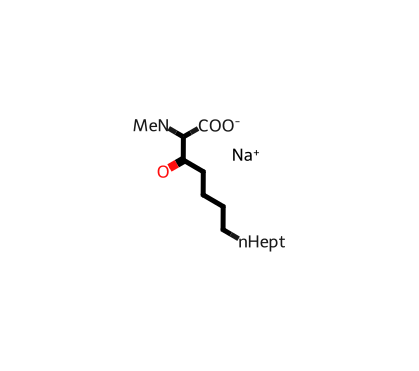 CCCCCCCCCCCC(=O)C(NC)C(=O)[O-].[Na+]